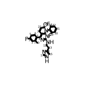 Cc1cc(F)ccc1-c1nc(NCCc2c[nH]cn2)nc2c1ccc(=O)n2-c1c(F)cccc1F